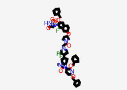 Cn1c(=O)n(-c2ccc(OCc3ccccc3)nc2OCc2ccccc2)c2ccc(C3=CCN(CC(=O)N4CC[C@H](Oc5ccc6cc(OCc7ccccc7)c(N7CC(=O)NS7(=O)=O)c(F)c6c5)C4)CC3(F)F)cc21